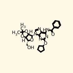 CC1(C)O[C@@H]2[C@H](O1)[C@@H](CO)O[C@H]2n1cnc2c(NC(=O)c3ccccc3)nc(OC3CCCC3)nc21